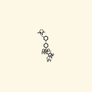 Cc1c(NS(=O)(=O)c2ccc(-c3cccc(CN4[C@@H](C)CC[C@@H]4C)c3)cc2)c(CC(C)C)nn1C